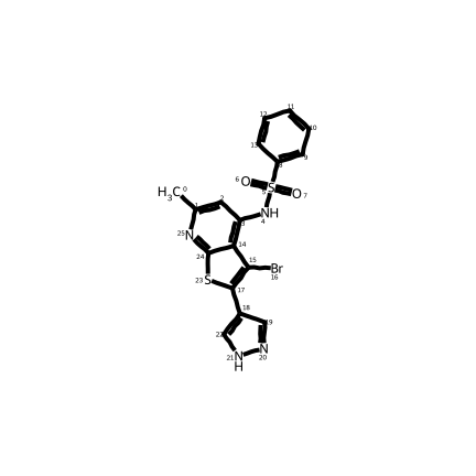 Cc1cc(NS(=O)(=O)c2ccccc2)c2c(Br)c(-c3cn[nH]c3)sc2n1